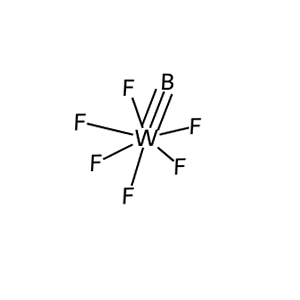 [B]#[W]([F])([F])([F])([F])([F])[F]